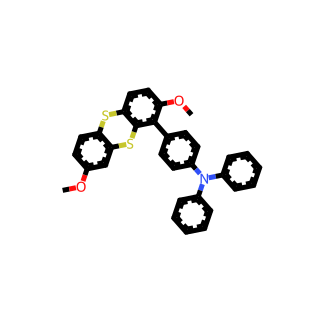 COc1ccc2c(c1)Sc1c(ccc(OC)c1-c1ccc(N(c3ccccc3)c3ccccc3)cc1)S2